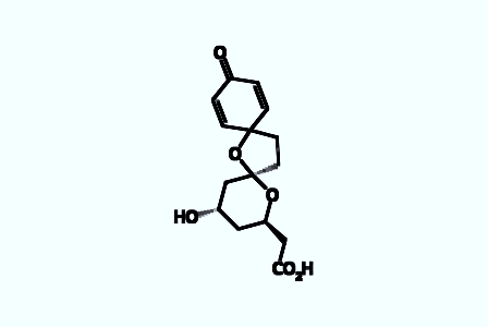 O=C1C=CC2(C=C1)CC[C@]1(C[C@@H](O)C[C@H](CC(=O)O)O1)O2